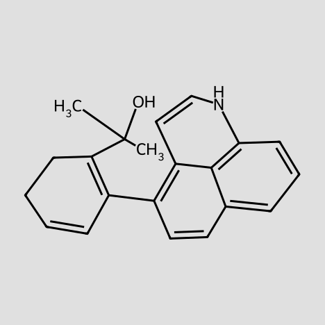 CC(C)(O)C1=C(c2ccc3cccc4c3c2C=CN4)C=CCC1